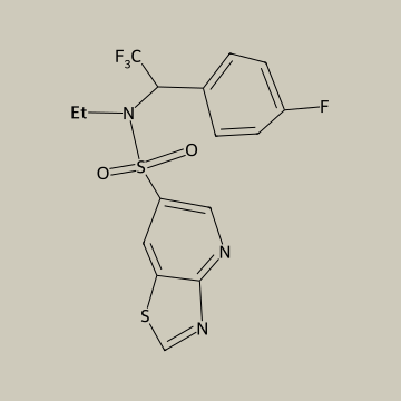 CCN(C(c1ccc(F)cc1)C(F)(F)F)S(=O)(=O)c1cnc2ncsc2c1